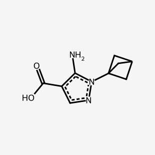 Nc1c(C(=O)O)cnn1C12CC(C1)C2